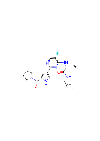 CC(C)C(Nc1nc(-c2c[nH]c(C(=O)N3CCCC3)c2)ncc1F)C(=O)NCC(F)(F)F